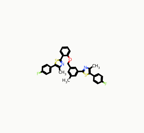 Cc1cc(COc2ccccc2-c2nc(C)c(-c3ccc(F)cc3)s2)cc(-c2nc(C)c(-c3ccc(F)cc3)s2)c1